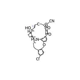 N#CCCC1CC/C=C/[C@H](O)[C@@H]2CC[C@H]2CN2CCCCc3cc(Cl)ccc3COc3ccc(cc32)C(=O)NS1(=O)=O